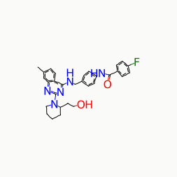 Cc1ccc2c(NCc3ccc(NC(=O)c4ccc(F)cc4)cc3)nc(N3CCCCC3CCO)nc2c1